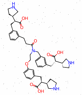 O=C(O)[C@@H](Cc1cccc(CCC(=O)N(CCOc2cccc(C[C@H](C(=O)O)[C@H]3CCNC3)c2)Cc2cccc(C[C@H](C(=O)O)[C@H]3CCNC3)c2)c1)[C@H]1CCNC1